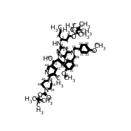 CCC[C@@H](CCO[Si](C)(C)C(C)(C)C)Nc1nc(N(Cc2ccc(OC)cc2)Cc2ccc(OC)cc2)c2ncc(C(O)c3cnc(N4CCN(C(=O)OC(C)(C)C)CC4)c(C)c3)n2n1